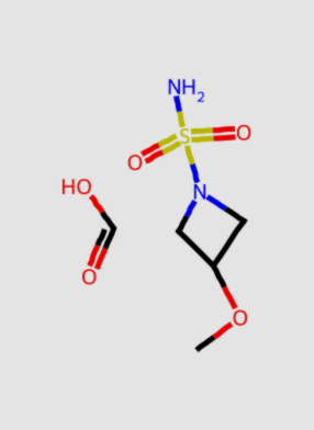 COC1CN(S(N)(=O)=O)C1.O=CO